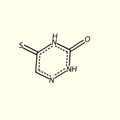 O=c1[nH]ncc(=S)[nH]1